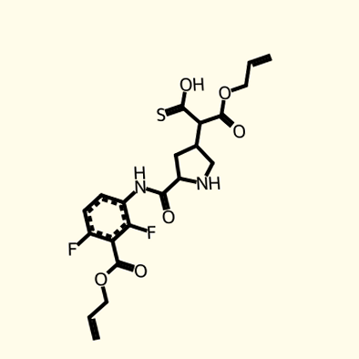 C=CCOC(=O)c1c(F)ccc(NC(=O)C2CC(C(C(=O)OCC=C)C(O)=S)CN2)c1F